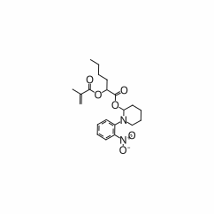 C=C(C)C(=O)OC(CCCC)C(=O)OC1CCCCN1c1ccccc1[N+](=O)[O-]